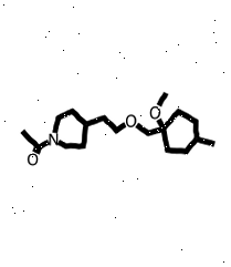 COC1(COCCC2CCN(C(C)=O)CC2)CCC(C)CC1